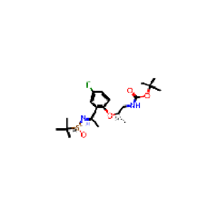 C/C(=N\[S@+]([O-])C(C)(C)C)c1cc(F)ccc1O[C@@H](C)CNC(=O)OC(C)(C)C